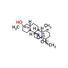 C=N[C@]12CC[C@]3(C)/C(=C/C)CC[C@@H](C)[C@H]3[C@@H]1CC[C@H]1C[C@](C)(O)CC[C@@H]12